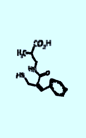 CC(CNC(=O)/C(=C\c1ccccc1)CS)C(=O)O